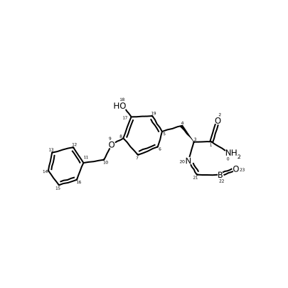 NC(=O)[C@H](Cc1ccc(OCc2ccccc2)c(O)c1)/N=C\B=O